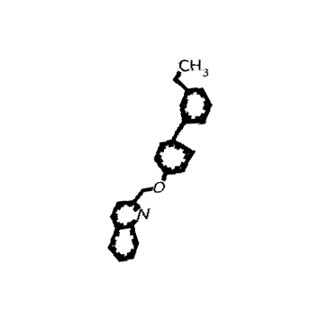 CCc1cccc(-c2ccc(OCc3ccc4ccccc4n3)cc2)c1